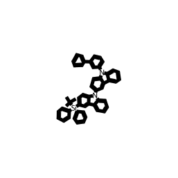 CC(C)(C)[Si](c1ccccc1)(c1ccccc1)c1ccc2c(c1)c1ccccc1n2-c1ccc2c(c1)c1ccccc1n2-c1cccc(-c2ccccc2)c1